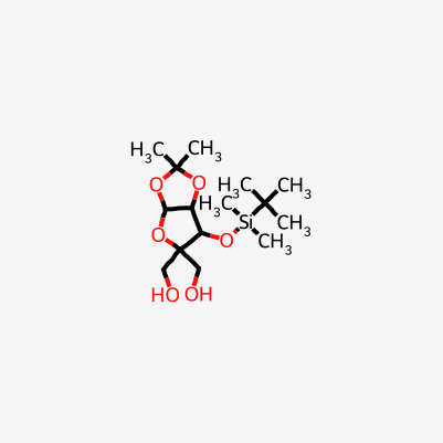 CC1(C)OC2OC(CO)(CO)C(O[Si](C)(C)C(C)(C)C)C2O1